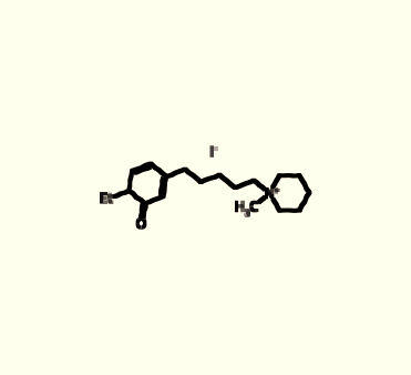 CCC1C=CC(CCCCC[N+]2(C)CCCCC2)=CC1=O.[I-]